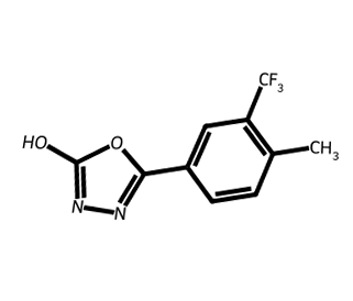 Cc1ccc(-c2nnc(O)o2)cc1C(F)(F)F